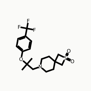 CC(C)(CN1CCC2(CC1)CS(=O)(=O)C2)Oc1ccc(C(F)(F)F)cc1